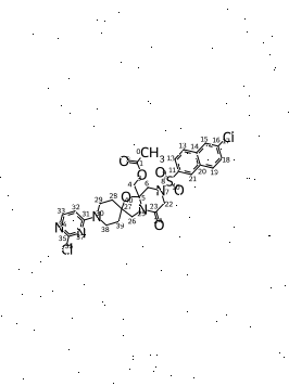 CC(=O)OCC12CN(S(=O)(=O)c3ccc4cc(Cl)ccc4c3)CC(=O)N1CC1(CCN(c3ccnc(Cl)n3)CC1)O2